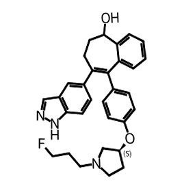 OC1CCC(c2ccc3[nH]ncc3c2)=C(c2ccc(O[C@H]3CCN(CCCF)C3)cc2)c2ccccc21